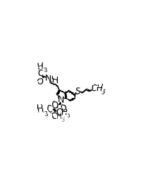 CCCCSc1ccc2c(c1)c(CCNC(C)=O)cn2C(=O)OC(C)(C)C